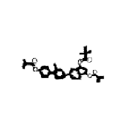 C=C(C)C(=O)Oc1ccc(-c2ccc(-c3ccc4c(c3)C(OC(=O)C(C)(C)C)CC4OC(=O)C(=C)C)cc2C)cc1